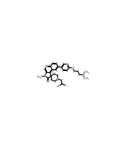 CN(C)CCCOc1ccc(-c2ccc3ncc4c(c3c2)C2(CCN(CC(F)F)CC2)C(=O)N4C)cn1